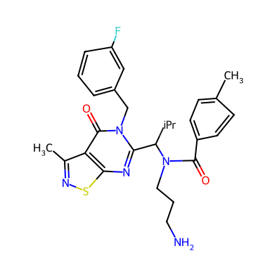 Cc1ccc(C(=O)N(CCCN)C(c2nc3snc(C)c3c(=O)n2Cc2cccc(F)c2)C(C)C)cc1